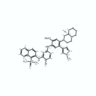 COc1cc(N2CCN3CCCC[C@@H]3C2)c(-c2cnn(C)c2)cc1NC1=[N+]=C(Nc2ccc3nccnc3c2P(C)(C)=O)C(Br)C=N1